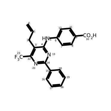 C=CCc1c(Nc2ccc(C(=O)O)cc2)nc(-c2ccccc2)nc1C(F)(F)F